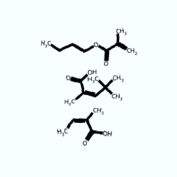 C=C(C)C(=O)OCCCC.CC(=CC(C)(C)C)C(=O)O.CC=C(C)C(=O)O